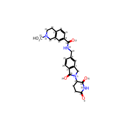 O=C1CCC(N2Cc3cc(CNC(=O)c4ccc5c(c4)CN(C(=O)O)CC5)ccc3C2=O)C(=O)N1